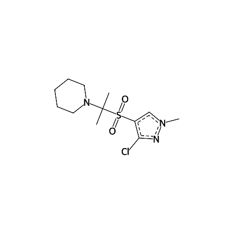 Cn1cc(S(=O)(=O)C(C)(C)N2CCCCC2)c(Cl)n1